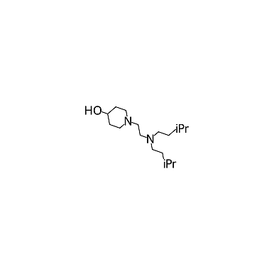 CC(C)CCN(CCC(C)C)CCN1CCC(O)CC1